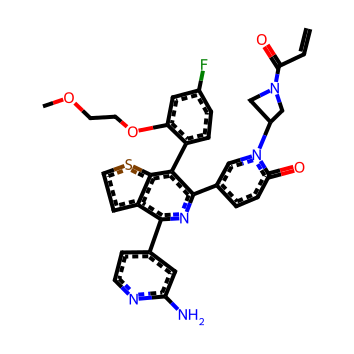 C=CC(=O)N1CC(n2cc(-c3nc(-c4ccnc(N)c4)c4ccsc4c3-c3ccc(F)cc3OCCOC)ccc2=O)C1